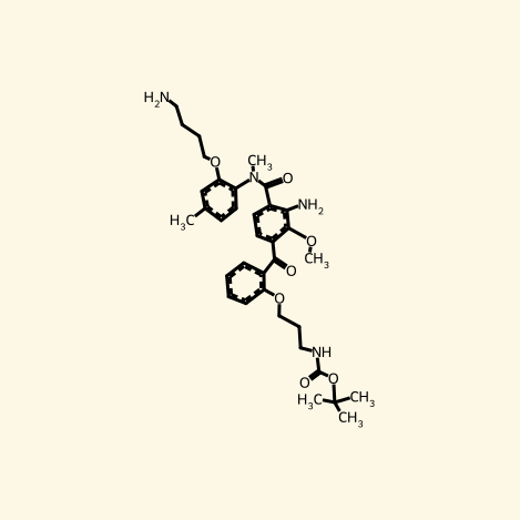 COc1c(C(=O)c2ccccc2OCCCNC(=O)OC(C)(C)C)ccc(C(=O)N(C)c2ccc(C)cc2OCCCCN)c1N